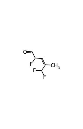 CC(=CC(F)C=O)C(F)F